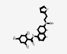 CCCN(CCc1cccs1)C1CCc2c(cccc2OC(=O)C2C(CC)CC(CC)CC2CC)C1